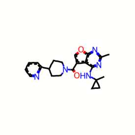 Cc1nc(NC2(C)CC2)c2c(C(=O)N3CCC(c4ccccn4)CC3)coc2n1